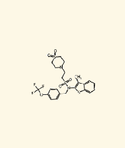 Cc1c(N(Cc2ccc(OC(F)(F)F)cc2)S(=O)(=O)CCN2CCS(=O)(=O)CC2)sc2ccccc12